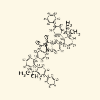 CC1(C)c2cc(-c3ccccc3)ccc2-c2c(-c3ccc4c(c3)c(=O)n3c(=O)c5cc(-c6cccc7c6-c6ccc(-c8ccccc8)cc6C7(C)C)ccc5n43)cccc21